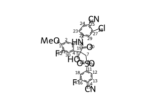 COc1ccc(C(O)(CS(=O)(=O)c2ccc(C#N)c(F)c2)C(=O)Nc2ccc(C#N)c(Cl)c2)cc1F